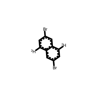 [2H]c1cc(Br)cc2c([2H])cc(Br)cc12